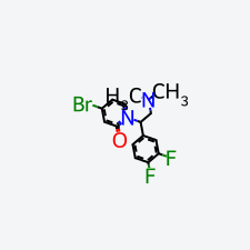 CN(C)CC(c1ccc(F)c(F)c1)n1ccc(Br)cc1=O